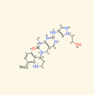 COc1cccc2c1NCC[C@@H]2N1Cc2cnc(Nc3cnn(CCO)c3)nc2N(C)C1=O